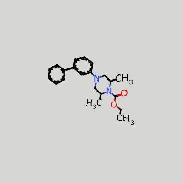 CCOC(=O)N1C(C)CN(c2cccc(-c3ccccc3)c2)CC1C